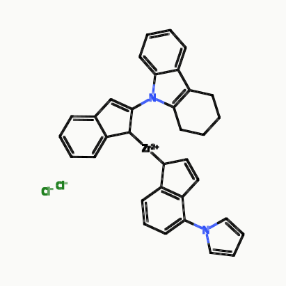 C1=C[CH]([Zr+2][CH]2C(n3c4c(c5ccccc53)CCCC4)=Cc3ccccc32)c2cccc(-n3cccc3)c21.[Cl-].[Cl-]